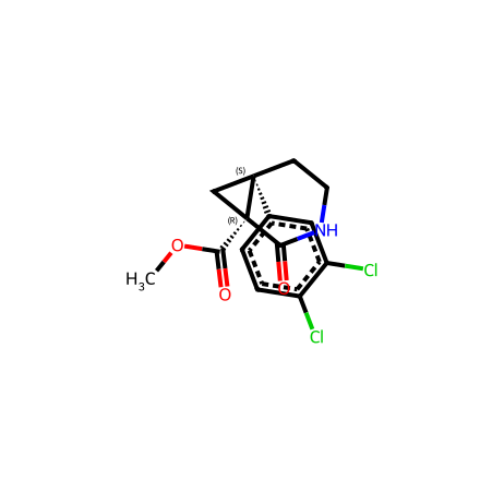 COC(=O)[C@]12C[C@@]1(c1ccc(Cl)c(Cl)c1)CCNC2=O